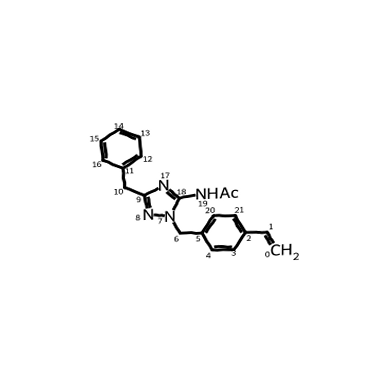 C=Cc1ccc(Cn2nc(Cc3ccccc3)nc2NC(C)=O)cc1